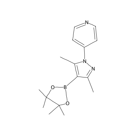 Cc1nn(-c2ccncc2)c(C)c1B1OC(C)(C)C(C)(C)O1